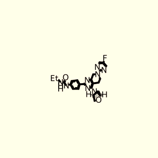 CCNC(=O)Nc1ccc(-c2nc3c(c(N4C[C@@H]5C[C@H]4CO5)n2)CCN(c2ncc(F)cn2)C3)cc1